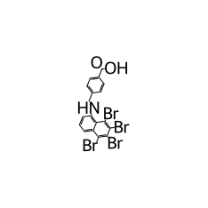 O=C(O)c1ccc(CNc2cccc3c(Br)c(Br)c(Br)c(Br)c23)cc1